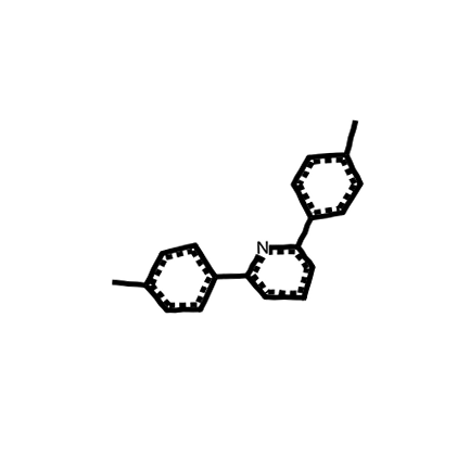 Cc1ccc(-c2cccc(-c3ccc(C)cc3)n2)cc1